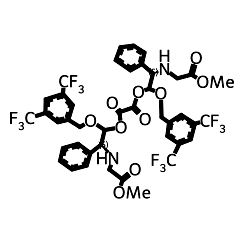 COC(=O)CN[C@@H](c1ccccc1)C(OCc1cc(C(F)(F)F)cc(C(F)(F)F)c1)OC(=O)C(=O)OC(OCc1cc(C(F)(F)F)cc(C(F)(F)F)c1)[C@@H](NCC(=O)OC)c1ccccc1